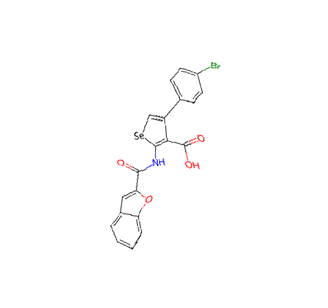 O=C(Nc1[se]cc(-c2ccc(Br)cc2)c1C(=O)O)c1cc2ccccc2o1